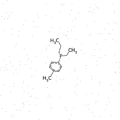 CCCP(CC)c1ccc(C)cc1